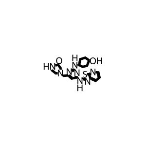 O=C1CN(Cc2cc(Nc3nc4cccnc4s3)nc(NC3CCC(O)CC3)n2)CCN1